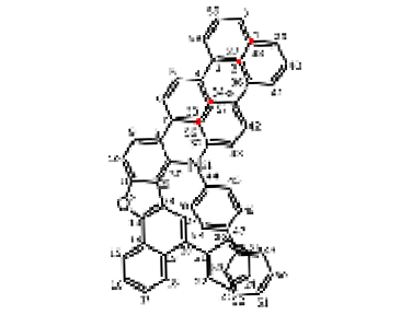 c1ccc(-c2ccc(-c3ccc4oc5c6ccccc6c(-c6ccccc6)cc5c4c3N(c3ccc(-c4ccccc4)cc3)c3ccc(-c4ccccc4)cc3)cc2)cc1